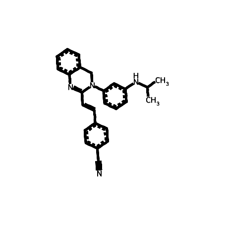 CC(C)Nc1cccc(N2Cc3ccccc3N=C2/C=C/c2ccc(C#N)cc2)c1